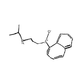 CC(C)NCC[S+]([O-])c1cccc2ccccc12